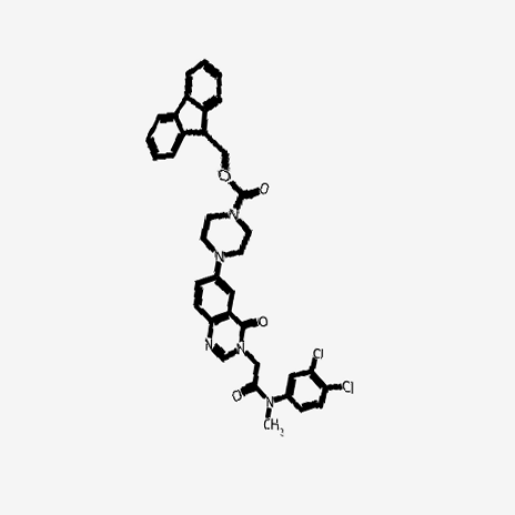 CN(C(=O)Cn1cnc2ccc(N3CCN(C(=O)OCC4c5ccccc5-c5ccccc54)CC3)cc2c1=O)c1ccc(Cl)c(Cl)c1